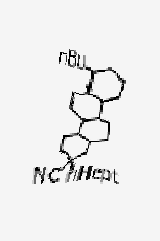 CCCCCCCC1(C#N)CCC2C(CCC3C4CCCC(CCCC)C4CCC23)C1